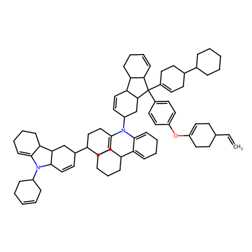 C=CC1CC=C(Oc2ccc(C3(C4=CCC(C5CCCCC5)CC4)C4C=CCCC4C4C=CC(N(C5=CCC(C6C=CC7C(C6)C6CCCC=C6N7C6CC=CCC6)CC5)C5=CCCC=C5C5CCCCC5)CC43)cc2)CC1